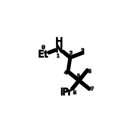 CCNC(C)CC(C)(C)C(C)C